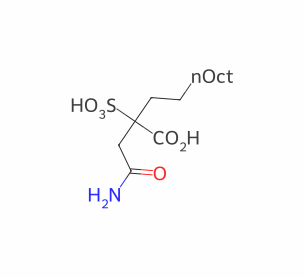 CCCCCCCCCCC(CC(N)=O)(C(=O)O)S(=O)(=O)O